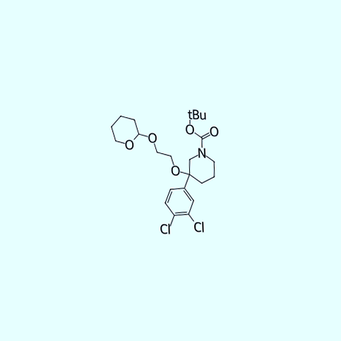 CC(C)(C)OC(=O)N1CCCC(OCCOC2CCCCO2)(c2ccc(Cl)c(Cl)c2)C1